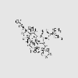 CN(C)c1ccc([C@H]2C[C@@]3(C)[C@@H](CC[C@@]3(O)C#CCl)[C@@H]3CC[C@@]4(O)CC5(CCC4=C32)OCCO5)cc1